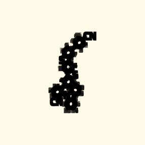 N#Cc1ccc(-c2ccc3sc4cc5c(cc4c3c2)sc2ccc(-c3cccc(C#N)c3-n3c4ccccc4c4ccccc43)cc25)cc1